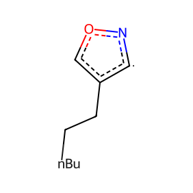 CCCCCCc1[c]noc1